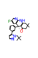 CC(C)(C)Cn1nccc1-c1cccc([C@]2(C)C3=C(CC(C)(C)CC3=O)Nc3ncc(F)cc32)c1